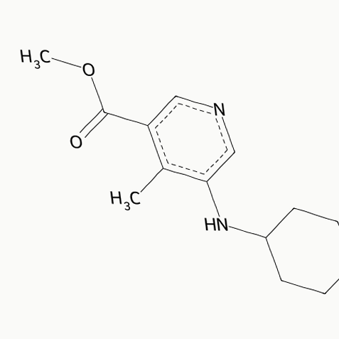 COC(=O)c1cncc(NC2CCOCC2)c1C